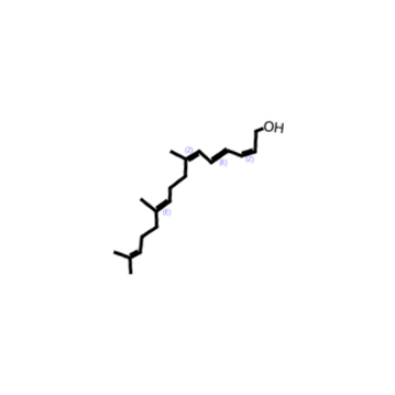 CC(C)=CCC/C(C)=C/CC\C(C)=C/C=C/C=C\CO